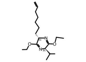 C=CCCCCC[C@@H]1N=C(OCC)[C@@H](C(C)C)N=C1OCC